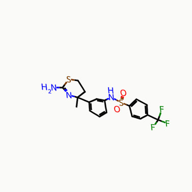 CC1(c2cccc(NS(=O)(=O)c3ccc(C(F)(F)F)cc3)c2)CCSC(N)=N1